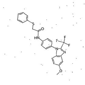 COc1ccc2c(c1)nc(C(F)(F)F)n2-c1ccc(NC(=O)CSc2ccccc2)cc1